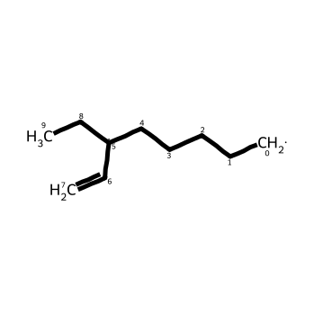 [CH2]CCCC[C](C=C)CC